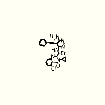 CCC(Nc1ncnc(N)c1C#Cc1ccccc1)c1nc2cccc(Cl)c2c(=O)n1C1CC1